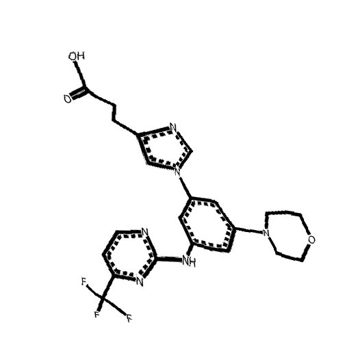 O=C(O)CCc1cn(-c2cc(Nc3nccc(C(F)(F)F)n3)cc(N3CCOCC3)c2)cn1